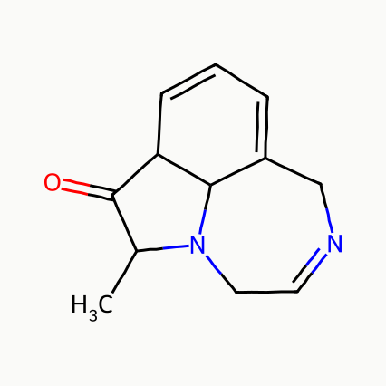 CC1C(=O)C2C=CC=C3CN=CCN1C32